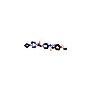 CCOc1ccc(C(=O)NC2CCN(CC(=O)N3CCN(C4CCC4)CC3)CC2)cc1